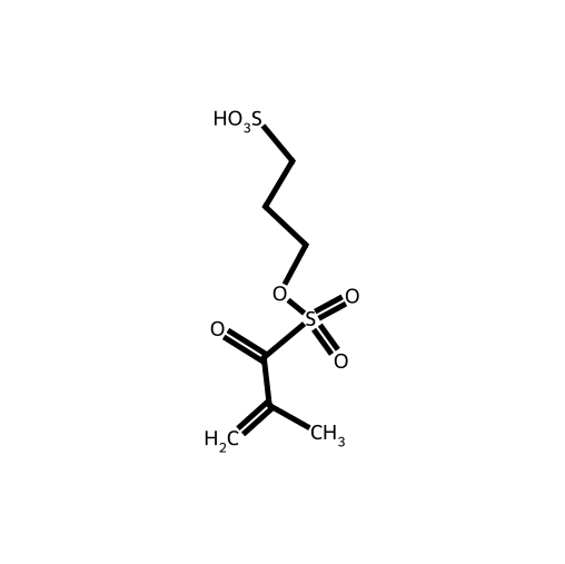 C=C(C)C(=O)S(=O)(=O)OCCCS(=O)(=O)O